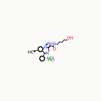 C#Cc1ccc2c(c1)C(c1ccccc1)=NCc1c(C(=O)NCCCCCO)ncn1-2.Cl.Cl